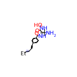 CC/C=C/C#Cc1ccc(C(=O)N[C@H](C(=O)NO)C(C)(C)N)cc1